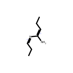 CC/C=N\C(N)=C/CC